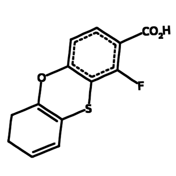 O=C(O)c1ccc2c(c1F)SC1=C(CCC=C1)O2